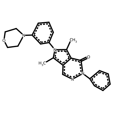 Cc1c2cnn(-c3ccccc3)c(=O)c2c(C)n1-c1cccc(N2CCOCC2)c1